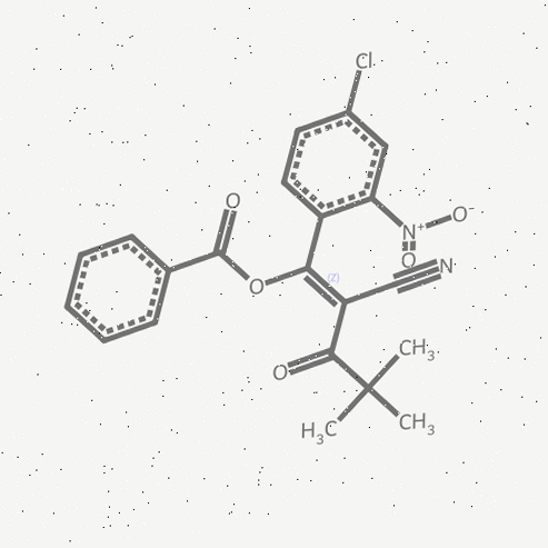 CC(C)(C)C(=O)/C(C#N)=C(\OC(=O)c1ccccc1)c1ccc(Cl)cc1[N+](=O)[O-]